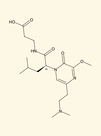 COc1nc(CCN(C)C)cn([C@@H](CC(C)C)C(=O)NCCC(=O)O)c1=O